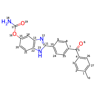 Cc1ccc(C(=O)c2ccc(-c3nc4cc(OC(N)=O)ccc4[nH]3)cc2)cc1